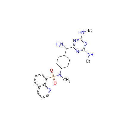 CCNc1nc(NCC)nc(C(N)C2CCC(N(C)S(=O)(=O)c3cccc4cccnc34)CC2)n1